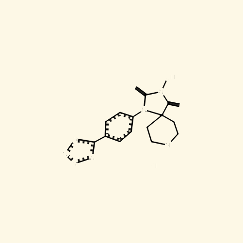 CN1C(=O)N(c2ccc(-c3nn[nH]n3)cc2)C2(CCNCC2)C1=O.Cl